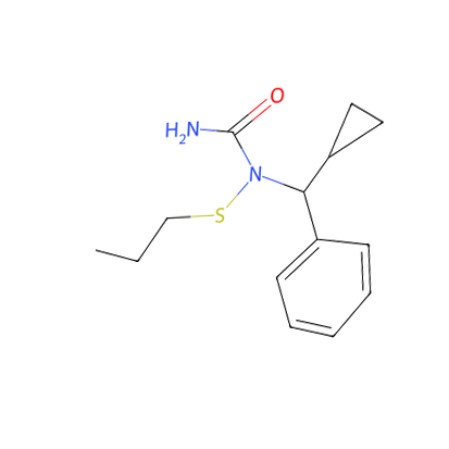 CCCSN(C(N)=O)C(c1ccccc1)C1CC1